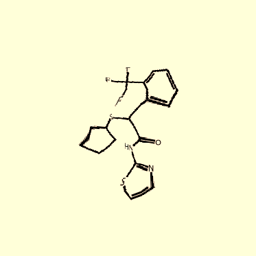 O=C(Nc1nccs1)C(SC1CCCC1)c1ccccc1C(F)(F)F